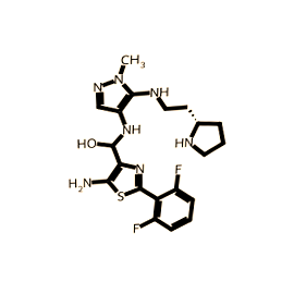 Cn1ncc(NC(O)c2nc(-c3c(F)cccc3F)sc2N)c1NCC[C@@H]1CCCN1